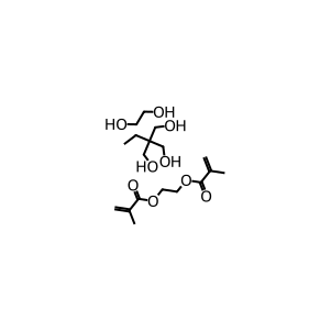 C=C(C)C(=O)OCCOC(=O)C(=C)C.CCC(CO)(CO)CO.OCCO